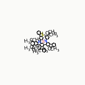 CC(C)(C)c1ccc(N2B3c4cc5sc6ccccc6c5cc4-n4c5cc6c(cc5c5c7c(c(c3c54)-c3cc4c(cc32)-c2ccccc2C4(C)C)-c2ccccc2C7(C)C)C(C)(C)CCC6(C)C)cc1